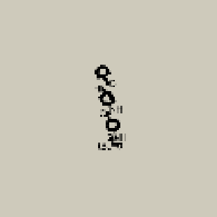 CC(C)(C)S(=O)(=O)N[C@H]1CC[C@H](C(=O)Nc2ccc(NC(=O)C3CCCCC3)cc2)CC1